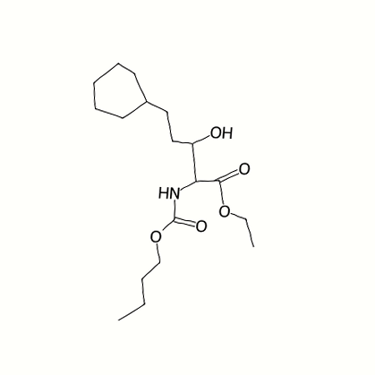 CCCCOC(=O)NC(C(=O)OCC)C(O)CCC1CCCCC1